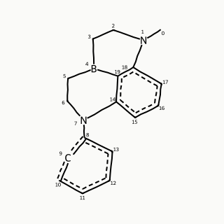 CN1CCB2CCN(c3ccccc3)c3cccc1c32